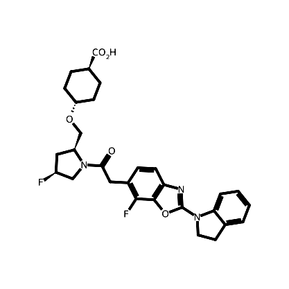 O=C(Cc1ccc2nc(N3CCc4ccccc43)oc2c1F)N1C[C@@H](F)C[C@H]1CO[C@H]1CC[C@H](C(=O)O)CC1